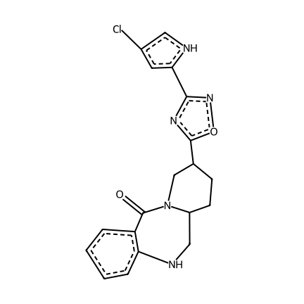 O=C1c2ccccc2NCC2CCC(c3nc(-c4cc(Cl)c[nH]4)no3)CN12